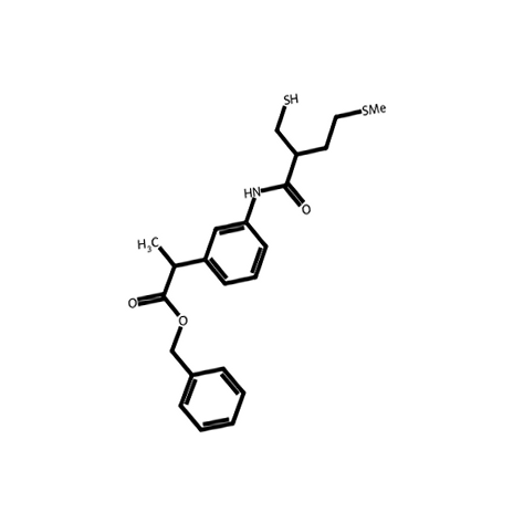 CSCCC(CS)C(=O)Nc1cccc(C(C)C(=O)OCc2ccccc2)c1